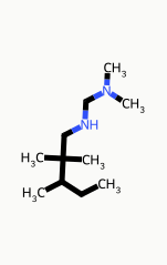 CCC(C)C(C)(C)CNCN(C)C